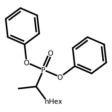 CCCCCCC(C)P(=O)(Oc1ccccc1)Oc1ccccc1